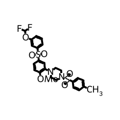 COc1ccc(S(=O)(=O)c2cccc(OC(F)F)c2)cc1N1CCN(S(=O)(=O)c2ccc(C)cc2)CC1